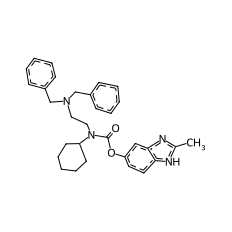 Cc1nc2cc(OC(=O)N(CCN(Cc3ccccc3)Cc3ccccc3)C3CCCCC3)ccc2[nH]1